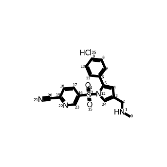 CNCc1cc(-c2ccccc2)n(S(=O)(=O)c2ccc(C#N)nc2)c1.Cl